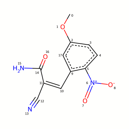 COc1ccc([N+](=O)[O-])c(/C=C(/C#N)C(N)=O)c1